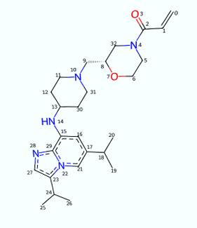 C=CC(=O)N1CCO[C@H](CN2CCC(Nc3cc(C(C)C)cn4c(C(C)C)cnc34)CC2)C1